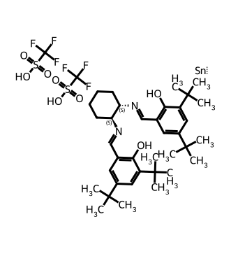 CC(C)(C)c1cc(C=N[C@H]2CCCC[C@@H]2N=Cc2cc(C(C)(C)C)cc(C(C)(C)C)c2O)c(O)c(C(C)(C)C)c1.O=S(=O)(O)C(F)(F)F.O=S(=O)(O)C(F)(F)F.[Sn]